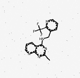 Cc1nc(NCc2cccnc2C(F)(F)F)c2cccnc2n1